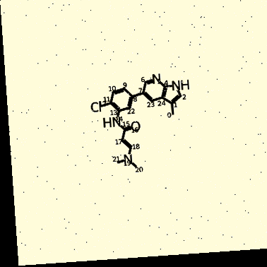 Cc1c[nH]c2ncc(-c3ccc(Cl)c(NC(=O)C=CN(C)C)c3)cc12